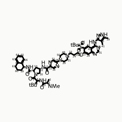 CNC(C)C(=O)NC(C(=O)N1C[C@@H](NC(=O)c2cnc(N3CCN(CCCOc4cc5ncnc(Nc6n[nH]c(C)c6C)c5cc4S(=O)(=O)C(C)(C)C)CC3)cn2)C[C@H]1C(=O)N[C@@H]1CCCc2ccccc21)C(C)(C)C